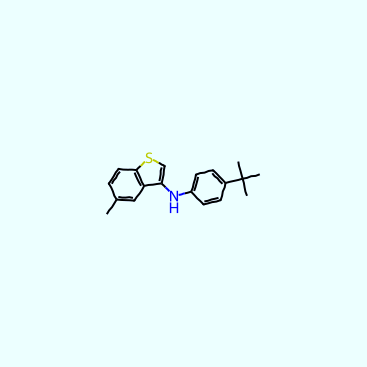 Cc1ccc2scc(Nc3ccc(C(C)(C)C)cc3)c2c1